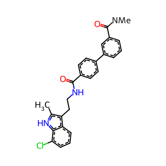 CNC(=O)c1cccc(-c2ccc(C(=O)NCCc3c(C)[nH]c4c(Cl)cccc34)cc2)c1